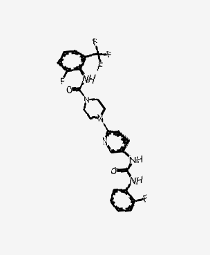 O=C(Nc1ccc(N2CCN(C(=O)Nc3c(F)cccc3C(F)(F)F)CC2)nc1)Nc1ccccc1F